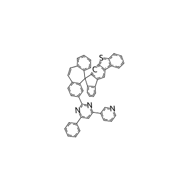 C1=Cc2ccc(-c3nc(-c4ccccc4)cc(-c4cccnc4)n3)cc2C2(c3ccccc31)c1ccccc1-c1cc3c(cc12)sc1ccccc13